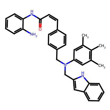 Cc1cc(N(Cc2ccc(/C=C\C(=O)Nc3ccccc3N)cc2)Cc2cc3ccccc3[nH]2)cc(C)c1C